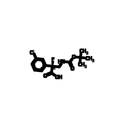 CC(C)(C)OC(=O)NC[C@](F)(C(=O)O)c1cccc(Cl)c1